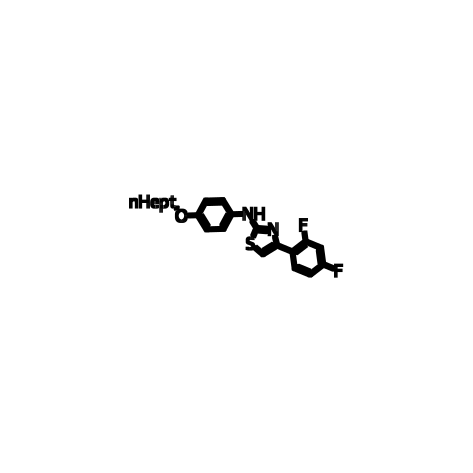 CCCCCCCOc1ccc(Nc2nc(-c3ccc(F)cc3F)cs2)cc1